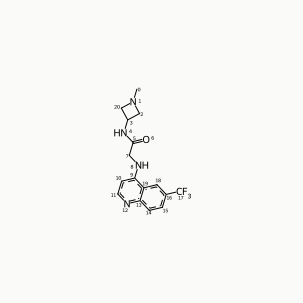 CN1CC(NC(=O)CNc2ccnc3ccc(C(F)(F)F)cc23)C1